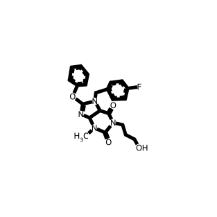 CN1C(=O)N(CCCO)C(=O)C2C1N=C(Oc1ccccc1)N2Cc1ccc(F)cc1